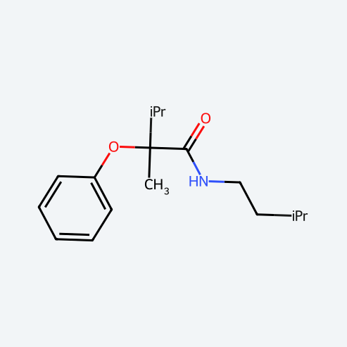 CC(C)CCNC(=O)C(C)(Oc1ccccc1)C(C)C